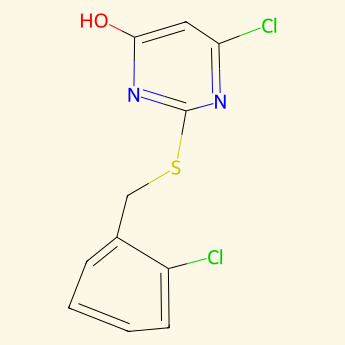 Oc1cc(Cl)nc(SCc2ccccc2Cl)n1